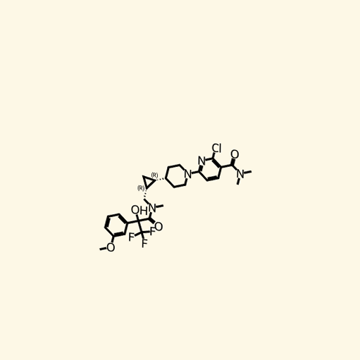 COc1cccc(C(O)(C(=O)N(C)C[C@@H]2C[C@@H]2C2CCN(c3ccc(C(=O)N(C)C)c(Cl)n3)CC2)C(F)(F)F)c1